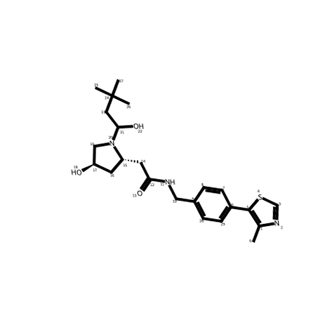 Cc1ncsc1-c1ccc(CNC(=O)C[C@@H]2C[C@@H](O)CN2C(O)CC(C)(C)C)cc1